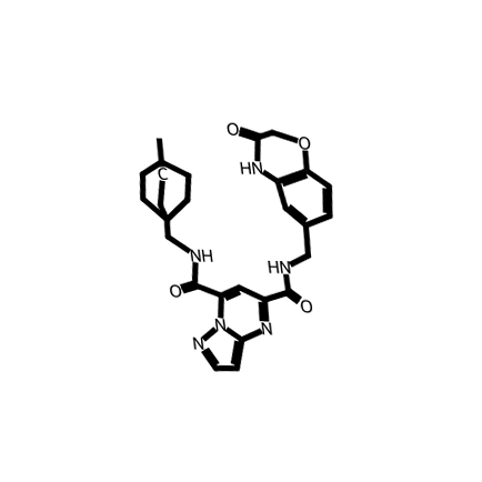 CC12CCC(CNC(=O)c3cc(C(=O)NCc4ccc5c(c4)NC(=O)CO5)nc4ccnn34)(CC1)CC2